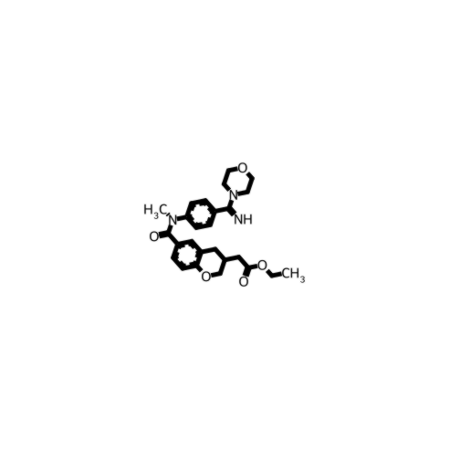 CCOC(=O)CC1COc2ccc(C(=O)N(C)c3ccc(C(=N)N4CCOCC4)cc3)cc2C1